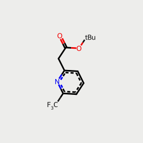 CC(C)(C)OC(=O)Cc1cccc(C(F)(F)F)n1